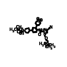 CC(C)(C)OC(=O)N1CCC(c2ccc(NC(=O)c3nc(C#N)cn3COCC[Si](C)(C)C)c(C3=CCS(=O)(=O)CC3)c2)CC1